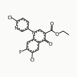 CCOC(=O)c1cn(-c2ccc(Cl)nc2)c2cc(F)c(Cl)cc2c1=O